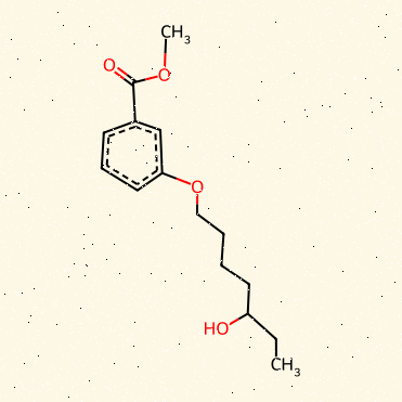 CCC(O)CCCCOc1cccc(C(=O)OC)c1